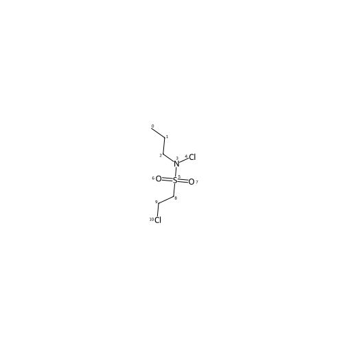 CCCN(Cl)S(=O)(=O)CCCl